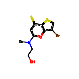 CCN(CCO)c1cc(=S)c2scc(Br)c2o1